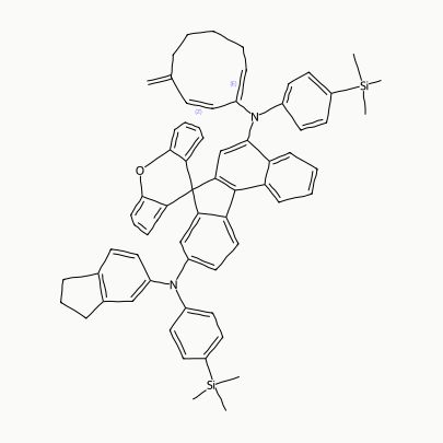 C=C1/C=C\C(N(c2ccc([Si](C)(C)C)cc2)c2cc3c(c4ccccc24)-c2ccc(N(c4ccc([Si](C)(C)C)cc4)c4ccc5c(c4)CCC5)cc2C32c3ccccc3Oc3ccccc32)=C/CCCC1